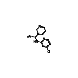 CCCC(Nc1cc(Cl)ncn1)N1C=CC=NC1